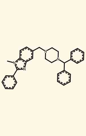 Cn1c(-c2ccccc2)nc2cc(CN3CCN(C(c4ccccc4)c4ccccc4)CC3)ccc21